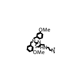 COc1cccc(CN(Cc2cccc(OC)c2)c2nc(CNCCN(C)C)cs2)c1